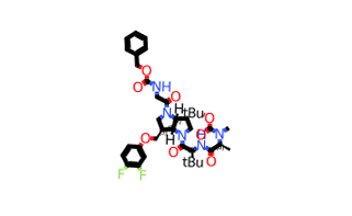 C[C@@H](C(=O)N[C@H](C(=O)N1CC[C@@H]2[C@H]1[C@@H](COc1ccc(F)c(F)c1)CN2C(=O)CNC(=O)OCc1ccccc1)C(C)(C)C)N(C)C(=O)OC(C)(C)C